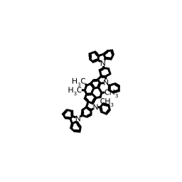 CC1c2cc3c4c(n(-c5ccccc5)c3c3c2-c2c(cc5c6cc(-n7c8ccccc8c8ccccc87)ccc6n(-c6ccccc6)c5c2C(C)C3C)C1C)CCC(n1c2ccccc2c2ccccc21)=C4